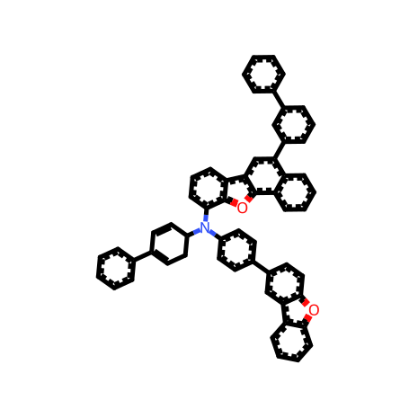 C1=CC(N(c2ccc(-c3ccc4oc5ccccc5c4c3)cc2)c2cccc3c2oc2c4ccccc4c(-c4cccc(-c5ccccc5)c4)cc32)CC=C1c1ccccc1